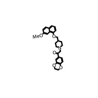 COc1ccc2cccc(OCC3CCN(CC(=O)c4ccc5c(c4)OCCO5)CC3)c2c1